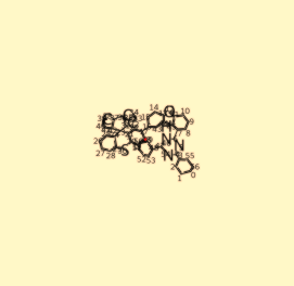 c1ccc(C2=NC(c3cccc4oc5ccc(-c6ccc7c(c6)C6(c8ccccc8S7)c7ccccc7-c7ccccc76)cc5c34)NC(c3ccccc3)=N2)cc1